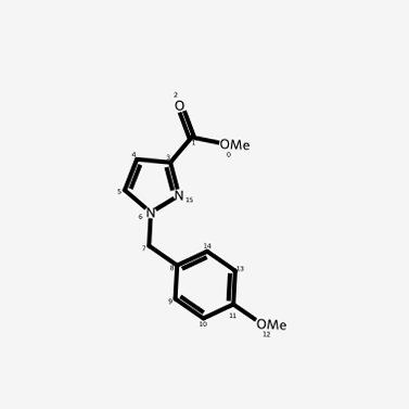 COC(=O)c1ccn(Cc2ccc(OC)cc2)n1